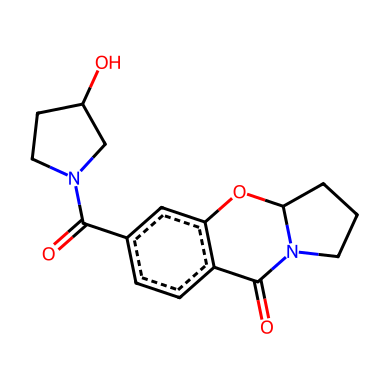 O=C(c1ccc2c(c1)OC1CCCN1C2=O)N1CCC(O)C1